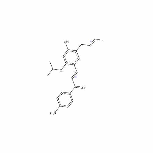 C/C=C/Cc1cc(/C=C/C(=O)c2ccc(N)cc2)c(OC(C)C)cc1O